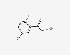 N#CCC(=O)c1cc(Cl)ccc1F